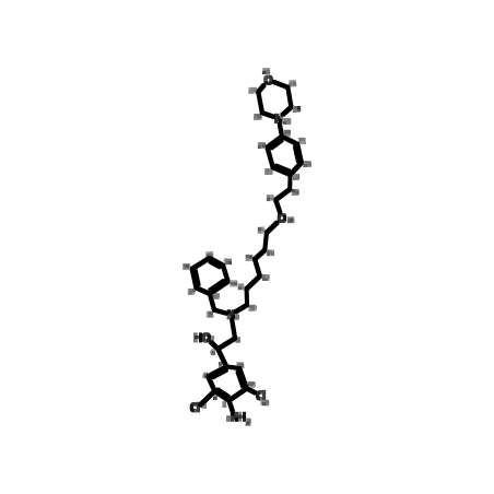 Nc1c(Cl)cc(C(O)CN(CCCCCCOCCc2ccc(N3CCOCC3)cc2)Cc2ccccc2)cc1Cl